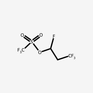 O=S(=O)(OC(F)CC(F)(F)F)C(F)(F)F